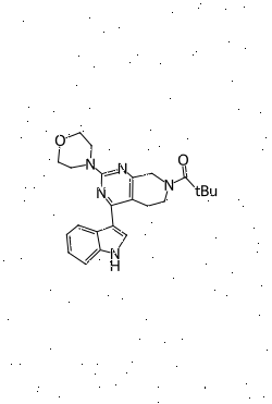 CC(C)(C)C(=O)N1CCc2c(nc(N3CCOCC3)nc2-c2c[nH]c3ccccc23)C1